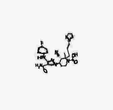 CC1(CCCn2cccn2)[C@@H](C#N)[C@H](n2cc(C(N)=O)c(Nc3ccc(F)cc3)n2)CCN1C(=O)O